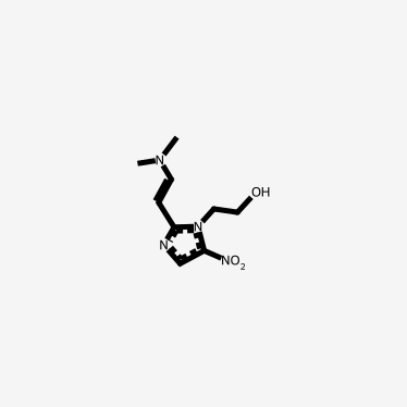 CN(C)C=Cc1ncc([N+](=O)[O-])n1CCO